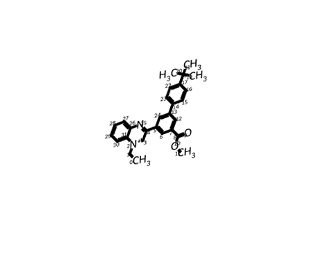 CC[n+]1cc(-c2cc(C(=O)OC)cc(-c3ccc(C(C)(C)C)cc3)c2)nc2ccccc21